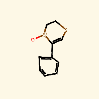 [O-][S+]1CCSC=C1c1ccccc1